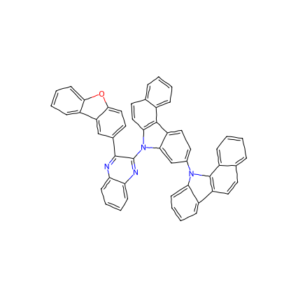 c1ccc2c(c1)ccc1c2c2ccc(-n3c4ccccc4c4ccc5ccccc5c43)cc2n1-c1nc2ccccc2nc1-c1ccc2oc3ccccc3c2c1